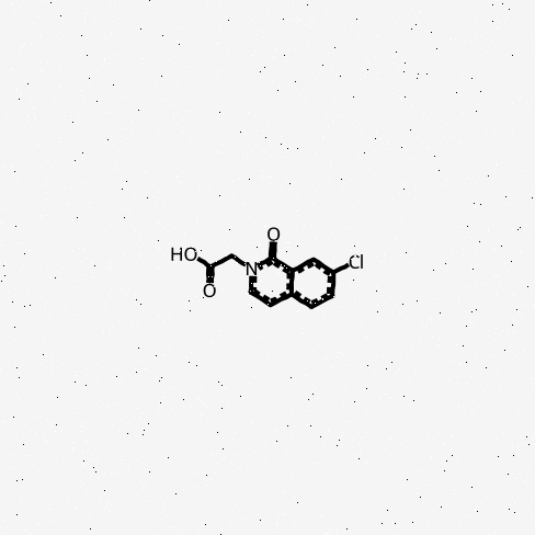 O=C(O)Cn1ccc2ccc(Cl)cc2c1=O